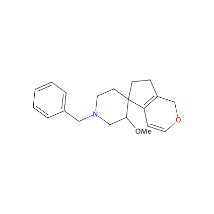 COC1CN(Cc2ccccc2)CCC12CCC1=C2C=COC1